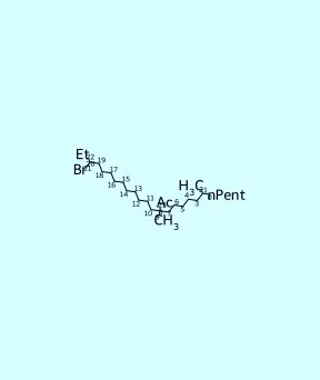 CCCCCC(C)CCCCCC(C)(CCCCCCCCCCC(Br)CC)C(C)=O